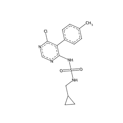 Cc1ccc(-c2c(Cl)ncnc2NS(=O)(=O)NCC2CC2)cc1